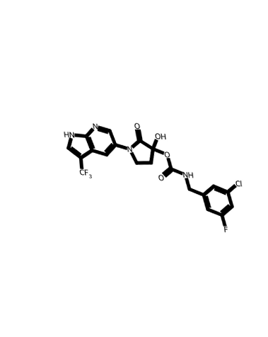 O=C(NCc1cc(F)cc(Cl)c1)OC1(O)CCN(c2cnc3[nH]cc(C(F)(F)F)c3c2)C1=O